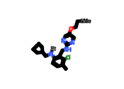 CCN(CC1CCCC1)c1ccc(C)c(Cl)c1CNc1ncc(OCCSC)cn1